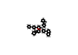 c1ccc(-c2ccc(-c3ccc(N(c4cccc(-c5cccc6ccccc56)c4)c4ccc5oc6ccccc6c5c4)cc3)c(-n3c4ccccc4c4ccccc43)c2)cc1